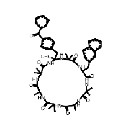 CC1NC(=O)C(C)(C)NC(=O)C(C)NC(=O)C(C)(C)NC(=O)C(Cc2ccc3ccccc3c2)NC(=O)C(C)(C)NC(C=O)(Cc2ccc(C(=O)c3ccccc3)cc2)NC(=O)C(C)(C)NC1=O